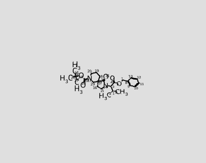 CC(C)C(C(=O)OCc1ccccc1)N1CC[C@@]2(CCCN(C(=O)OC(C)(C)C)C2)C1=O